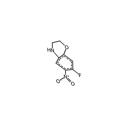 O=[N+]([O-])c1cc2c(cc1F)OCCN2